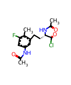 CC(=O)Nc1cc(F)c(C)c(CC[C@H](NC(C)=O)C(=O)Cl)c1